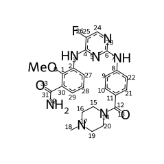 COc1c(Nc2nc(Nc3ccc(C(=O)N4CCN(C)CC4)cc3)ncc2F)cccc1C(N)=O